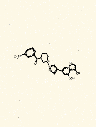 COc1cc(-c2cnn([C@@H]3CCCN(C(=O)c4cccc([N+](=O)[O-])c4)C3)c2)cn2ncc(C#N)c12